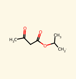 [CH2]C(C)OC(=O)CC(C)=O